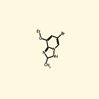 CCOC1=CC(Br)=CN2NC(C)N=C12